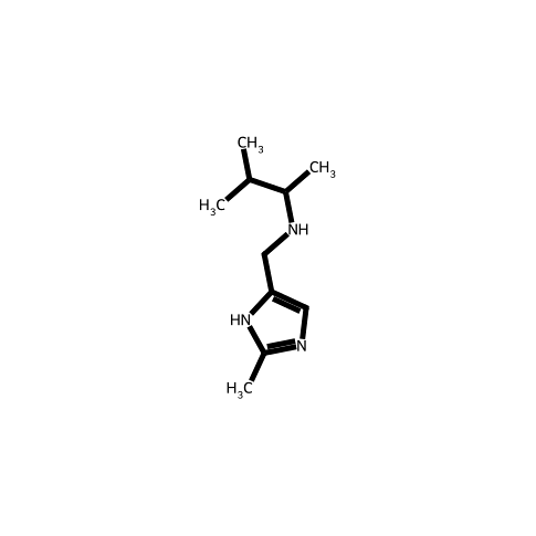 Cc1ncc(CNC(C)C(C)C)[nH]1